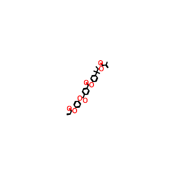 C=CC(=O)Oc1ccc(OC(=O)c2ccc(C(=O)Oc3ccc(C(C)(C)C(C)OC(=O)C(=C)C)cc3)cc2)cc1